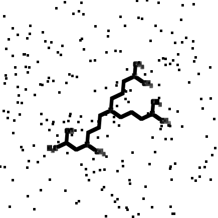 CC(O)CN(C)CCCN(CCCN(C)C)CCCN(C)C